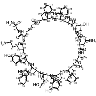 CCCC[C@H]1C(=O)N2C[C@H](O)C[C@@H]2C(=O)N[C@@H](CC(N)=O)C(=O)N[C@@H](C(C)C)C(=O)N(C)[C@@H](Cc2ccccc2)C(=O)N[C@@H](Cc2ccc(O)cc2)C(=O)N(C)[C@H](CCC(=O)O)C(=O)N[C@@H](Cc2c[nH]c3ccccc23)C(=O)N[C@@H](Cc2ccc(O)cc2)C(=O)N[C@@H](CCCCN)C(=O)N[C@H](C(=O)NCC(N)=O)CSCC(=O)N[C@@H](Cc2ccccc2)C(=O)N(C)[C@@H](Cc2ccccc2)C(=O)N1C